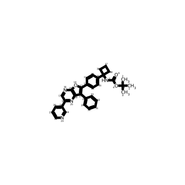 CC(C)(C)OC(=O)NC1(c2ccc(-c3oc4ncc(-c5cccnc5)nc4c3-c3ccccc3)cc2)CCC1